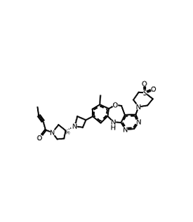 CC#CC(=O)N1CC[C@@H](N2CC(c3cc(C)c4c(c3)Nc3ncnc(N5CCS(=O)(=O)CC5)c3CO4)C2)C1